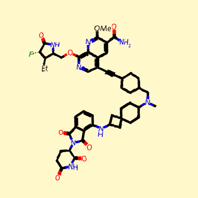 CCC1C(COc2ncc(C#CC3CCC(CN(C)C4CCC5(CC4)CC(Nc4cccc6c4C(=O)N(C4CCC(=O)NC4=O)C6=O)C5)CC3)c3cc(C(N)=O)c(OC)nc23)NC(=O)[C@H]1F